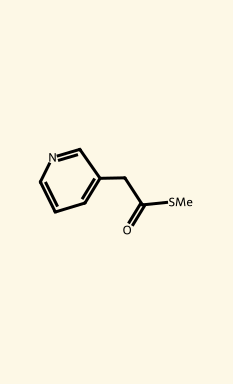 CSC(=O)Cc1cccnc1